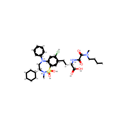 CCCCN(C)C(=O)C(=O)N[C@@H](CCc1cc2c(cc1Cl)N(c1ccccc1)C[C@@H](C1CCCCC1)N(C)S2(=O)=O)C(=O)O